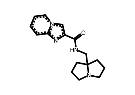 O=C(NCC12CCCN1CCC2)c1cn2ccccc2n1